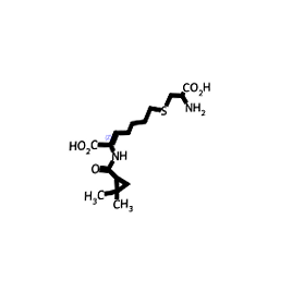 CC1(C)CC1C(=O)N/C(=C\CCCCSCC(N)C(=O)O)C(=O)O